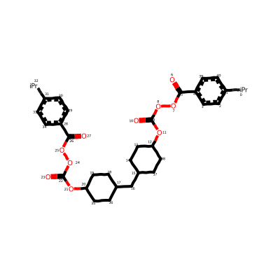 CC(C)c1ccc(C(=O)OOC(=O)OC2CCC(CC3CCC(OC(=O)OOC(=O)c4ccc(C(C)C)cc4)CC3)CC2)cc1